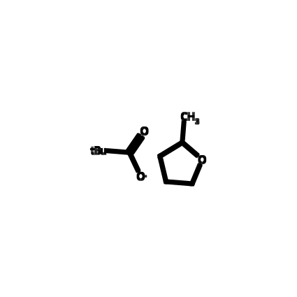 CC(C)(C)C([O])=O.CC1CCCO1